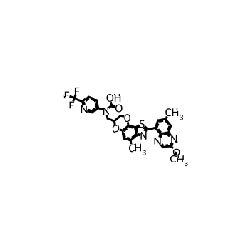 COc1cnc2c(-c3nc4c(C)cc5c(c4s3)OCC(CN(C(=O)O)c3ccc(C(F)(F)F)nc3)O5)cc(C)cc2n1